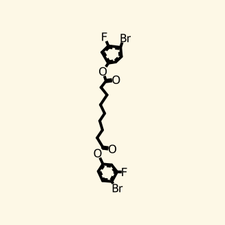 O=C(CCCCCCCC(=O)Oc1ccc(Br)c(F)c1)Oc1ccc(Br)c(F)c1